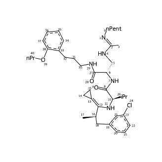 CCCCC/N=C(\C)NC[C@H](NC(=O)[C@H](NC(=C1CC1)[C@H](C)Cc1cccc(Cl)c1)C(C)C)C(=O)NCCCc1ccccc1OCCC